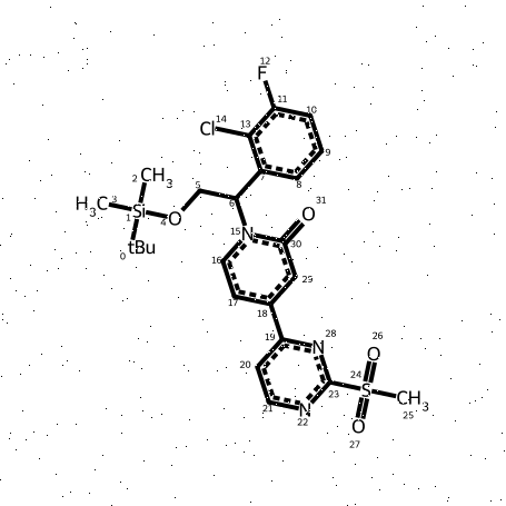 CC(C)(C)[Si](C)(C)OCC(c1cccc(F)c1Cl)n1ccc(-c2ccnc(S(C)(=O)=O)n2)cc1=O